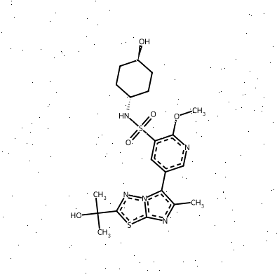 COc1ncc(-c2c(C)nc3sc(C(C)(C)O)nn23)cc1S(=O)(=O)N[C@H]1CC[C@H](O)CC1